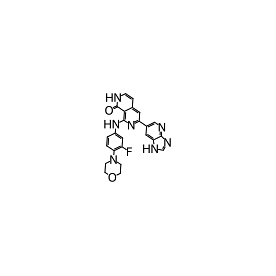 O=c1[nH]ccc2cc(-c3cnc4nc[nH]c4c3)nc(Nc3ccc(N4CCOCC4)c(F)c3)c12